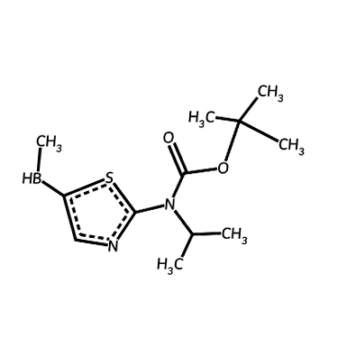 CBc1cnc(N(C(=O)OC(C)(C)C)C(C)C)s1